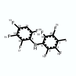 Cc1c(F)c(F)c(Bc2c(F)cc(F)c(F)c2F)c(F)c1F